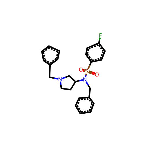 O=S(=O)(c1ccc(F)cc1)N(Cc1ccccc1)C1CCN(Cc2ccccc2)C1